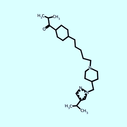 CC(C)C(=O)C1CCC(CCCCCN2CCC(Cn3cc(C(C)C)cn3)CC2)CC1